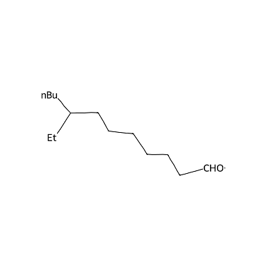 CCCCC(CC)CCCCCC[C]=O